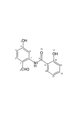 O=Cc1ccc(O)cc1NC(=O)c1ccccc1O